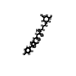 Cc1ccc(-c2nc(CC(=O)CC(=O)NCCCN3CC(C)CC(C)C3)c(C)o2)cc1